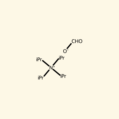 CC(C)[N+](C(C)C)(C(C)C)C(C)C.O=C[O-]